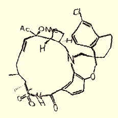 CO[C@]1(C(C)=O)/C=C/C[C@H](C)[C@@H](C)S(=O)(=O)NC(=O)c2ccc3c(c2)N(C[C@@H]2CC[C@H]21)C[C@@]1(CCCc2cc(Cl)ccc21)CO3